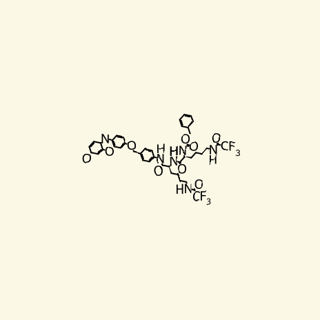 O=C(N[C@@H](CCCCNC(=O)C(F)(F)F)C(=O)N[C@@H](CCCCNC(=O)C(F)(F)F)C(=O)Nc1ccc(COc2ccc3nc4ccc(=O)cc-4oc3c2)cc1)OCc1ccccc1